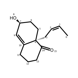 C/C=C\C[C@@]12CC[C@H](O)C=C1CCCC2=O